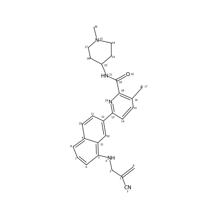 C=C(C#N)CNc1cccc2ccc(-c3ccc(F)c(C(=O)NC4CCN(C)CC4)n3)cc12